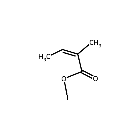 C/C=C(/C)C(=O)OI